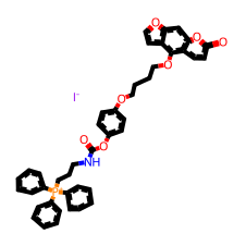 O=C(NCCC[P+](c1ccccc1)(c1ccccc1)c1ccccc1)Oc1ccc(OCCCCOc2c3ccoc3cc3oc(=O)ccc23)cc1.[I-]